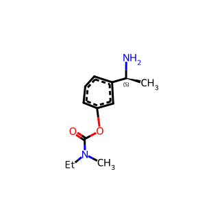 CCN(C)C(=O)Oc1cccc([C@H](C)N)c1